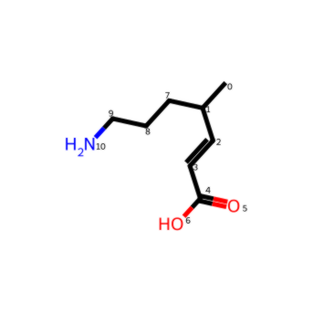 CC(C=CC(=O)O)CCCN